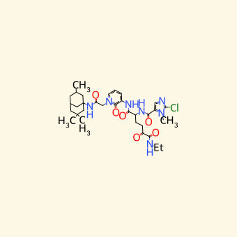 CCNC(=O)C(=O)CCC(NC(=O)c1cnc(Cl)n1C)C(=O)Nc1cccn(CC(=O)NC23CC(C)CC(CC(C)(C)C2)C3)c1=O